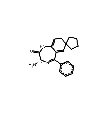 N[C@H]1N=C(c2ccccc2)C2=CC3(CC=C2NC1=O)CCCC3